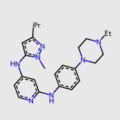 CCN1CCN(c2ccc(Nc3cc(Nc4cc(C(C)C)nn4C)ccn3)cc2)CC1